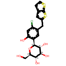 OC[C@H]1O[C@@H](c2cc(Cc3cc4ccsc4s3)c(Cl)cc2O)[C@H](O)[C@@H](O)[C@@H]1O